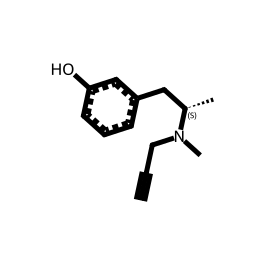 C#CCN(C)[C@@H](C)Cc1cccc(O)c1